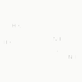 C/C=c1/cc(N)[nH]/c1=C/C